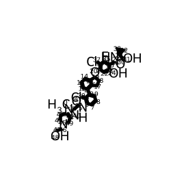 Cn1c(C(=O)Nc2cccc(-c3cccc4c3CCC4Oc3cc(O)c(CNC4(C(=O)O)CC4)c(F)c3Cl)c2Cl)nc2c1CCN(CCO)C2